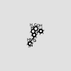 C[C@@]1(O)CC[C@@]2(Cc3ccccc3)c3ccc(C(=O)Nc4cccnc4)cc3CC[C@@H]2C1